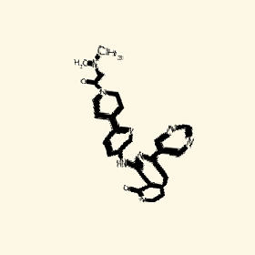 CN(C)CC(=O)N1CCC(c2ccc(Nc3nc(-c4cncnc4)cc4c3C(=O)[N]C=C4)cn2)CC1